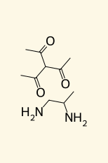 CC(=O)C(C(C)=O)C(C)=O.CC(N)CN